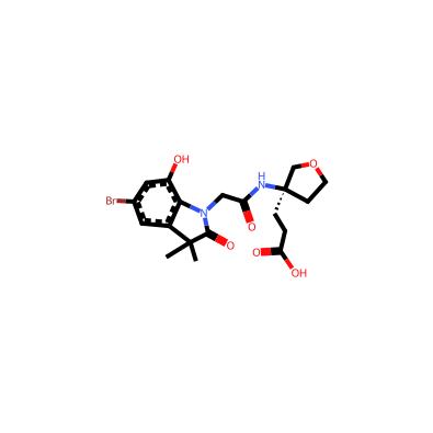 CC1(C)C(=O)N(CC(=O)N[C@]2(CCC(=O)O)CCOC2)c2c(O)cc(Br)cc21